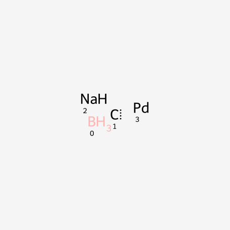 B.[C].[NaH].[Pd]